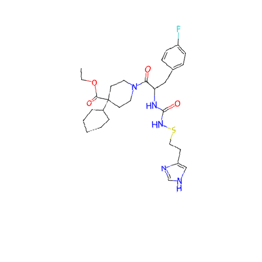 CCOC(=O)C1(C2CCCCC2)CCN(C(=O)C(Cc2ccc(F)cc2)NC(=O)NSCCc2c[nH]cn2)CC1